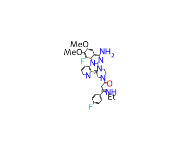 CCN[C@H](CC(=O)N1CCN(c2nc(N)c3cc(OC)c(OC)c(F)c3n2)[C@@H](c2ccccn2)C1)c1ccc(F)cc1